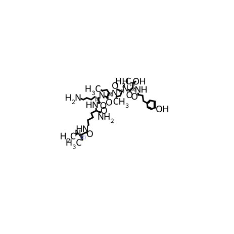 C=N/C(=C\C)C(=O)NCCCCC(NC(=O)[C@H](CCCCN)N1C(=O)[C@@H](N2C(=O)[C@@H](NC(=O)[C@@H](NC(=O)CCc3ccc(O)cc3)[C@H](C)O)CC2C)CC1C)C(N)=O